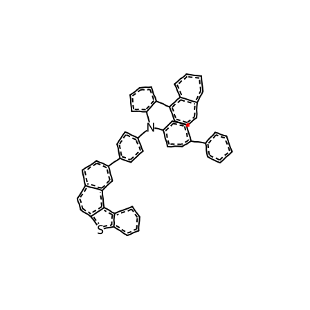 c1ccc(-c2ccc(N(c3ccc(-c4ccc5ccc6sc7ccccc7c6c5c4)cc3)c3ccccc3-c3cccc4ccccc34)cc2)cc1